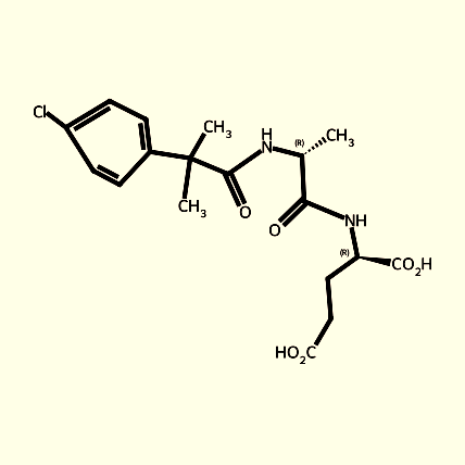 C[C@@H](NC(=O)C(C)(C)c1ccc(Cl)cc1)C(=O)N[C@H](CCC(=O)O)C(=O)O